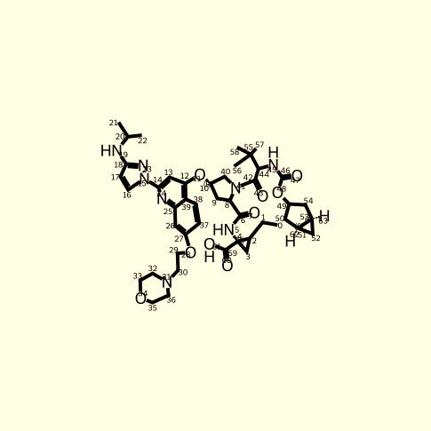 CCC1C[C@]1(NC(=O)C1C[C@@H](Oc2cc(-n3ccc(NC(C)C)n3)nc3cc(OCCN4CCOCC4)ccc23)CN1C(=O)C(NC(=O)OC1C[C@@H]2C[C@@H]2C1)C(C)(C)C)C(=O)O